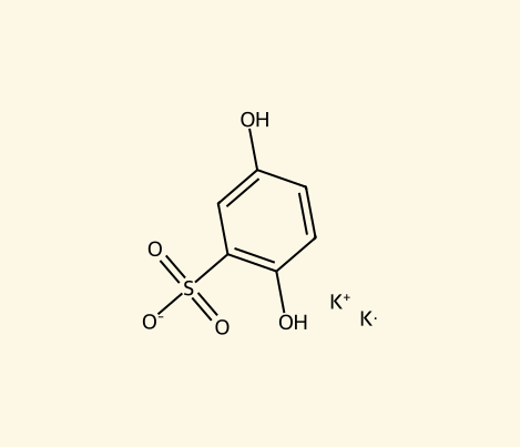 O=S(=O)([O-])c1cc(O)ccc1O.[K+].[K]